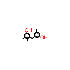 Cc1cc(O)cc(Cc2cc(O)cc(C)c2C)c1